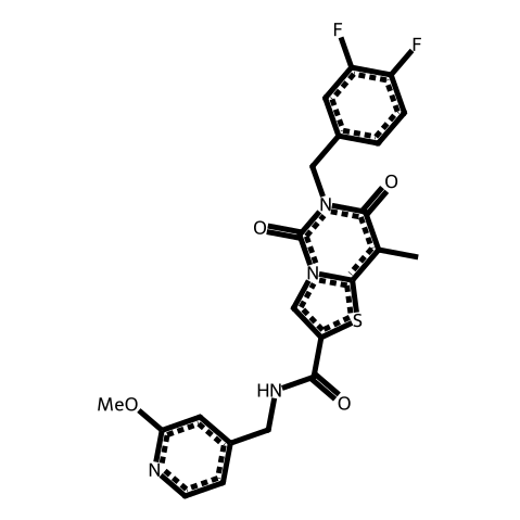 COc1cc(CNC(=O)c2cn3c(=O)n(Cc4ccc(F)c(F)c4)c(=O)c(C)c3s2)ccn1